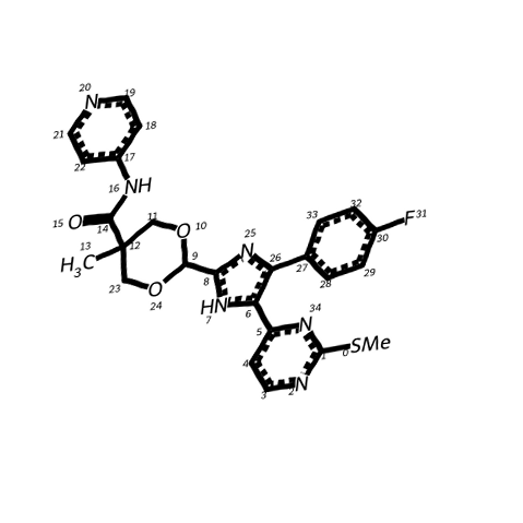 CSc1nccc(-c2[nH]c(C3OCC(C)(C(=O)Nc4ccncc4)CO3)nc2-c2ccc(F)cc2)n1